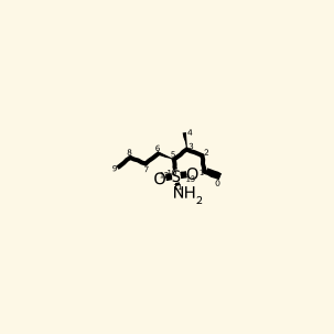 C=CC[C@H](C)[C@H](CCCC)S(N)(=O)=O